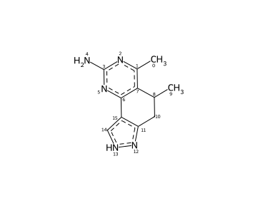 Cc1nc(N)nc2c1C(C)Cc1n[nH]cc1-2